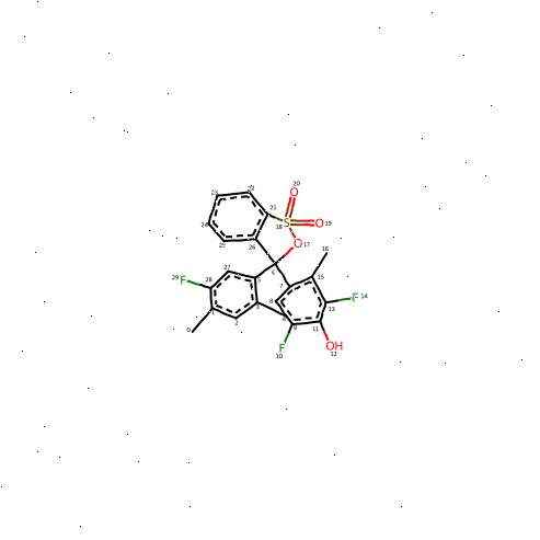 Cc1cc(C)c(C2(c3cc(F)c(O)c(F)c3C)OS(=O)(=O)c3ccccc32)cc1F